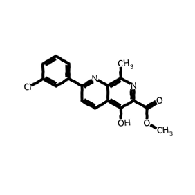 COC(=O)c1nc(C)c2nc(-c3cccc(Cl)c3)ccc2c1O